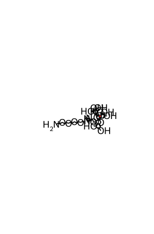 NCCOCCOCCOCCOCCn1cc(COC2c3c(O)cc(O)cc3OC(c3cc(O)c(O)c(O)c3)C2OC(=O)c2cc(O)c(O)c(O)c2)nn1